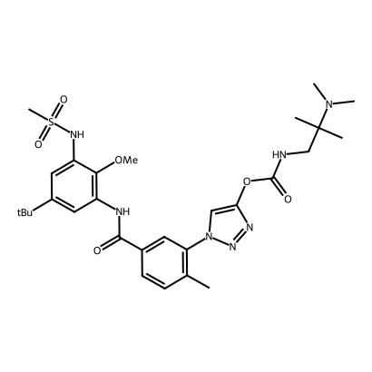 COc1c(NC(=O)c2ccc(C)c(-n3cc(OC(=O)NCC(C)(C)N(C)C)nn3)c2)cc(C(C)(C)C)cc1NS(C)(=O)=O